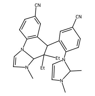 CCC1(CC)C(c2cc(C#N)ccc2N2C=CN(C)C2C)c2cc(C#N)ccc2N2C=CN(C)C21